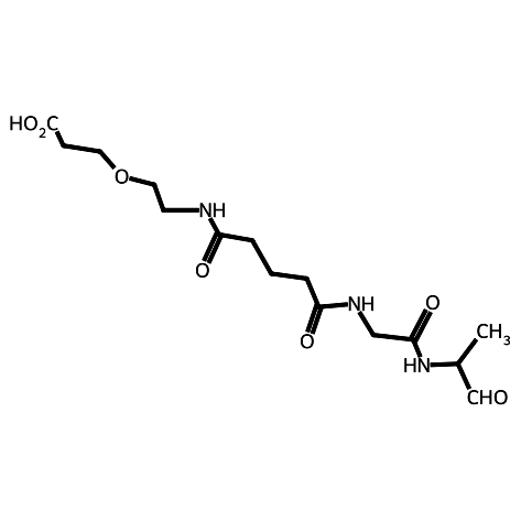 CC(C=O)NC(=O)CNC(=O)CCCC(=O)NCCOCCC(=O)O